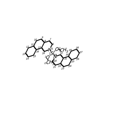 CO[Si](OC)(N1CCC2CCC3CCCCC3C2C1)N1CCC2CCC3CCCCC3C2C1